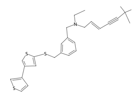 CCN(C/C=C/C#CC(C)(C)C)Cc1cccc(CSc2cc(-c3ccsc3)cs2)c1